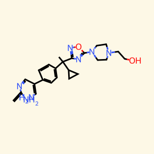 C=C(N)/N=C\C(=C/N)c1ccc(C(C)(c2noc(N3CCN(CCO)CC3)n2)C2CC2)cc1